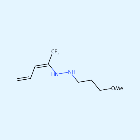 C=C/C=C(\NNCCCOC)C(F)(F)F